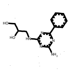 Nc1nc(NCC(O)CO)nc(-c2ccccc2)n1